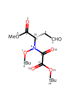 COC(=O)[C@H](CC=O)N(OC(C)(C)C)C(=O)C(=O)OC(C)(C)C